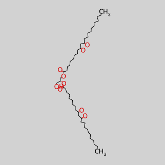 CCCCCCCCCCCC(=O)CC(=O)CCCCCCCCC(=O)OC[C@H](CO)OC(=O)CCCCCCCCC(=O)CC(=O)CCCCCCCCCCC